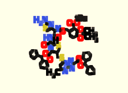 Cc1cc(SCC2=C(C(=O)OC(c3ccccc3)c3ccccc3)N3C(=O)[C@@H](NC(=O)/C(=N\OCc4ccc5c(c4C(=O)OC(C)(C)C)OC(C)(C)O5)c4csc(N)n4)[C@H]3SC2)n2nc(C(=O)OC(c3ccccc3)c3ccccc3)nc2n1